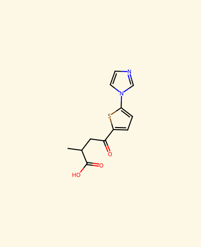 CC(CC(=O)c1ccc(-n2ccnc2)s1)C(=O)O